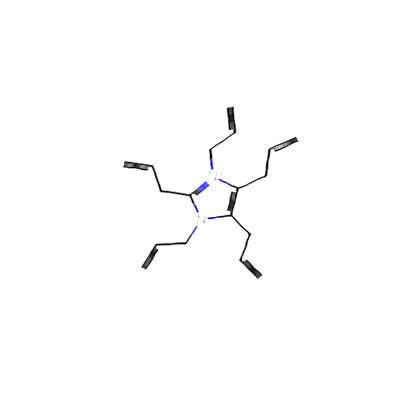 C=CCc1c(CC=C)[n+](CC=C)c(CC=C)n1CC=C